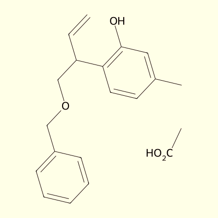 C=CC(COCc1ccccc1)c1ccc(C)cc1O.CC(=O)O